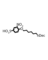 CCCCCCCCCCCCCCCCOc1ccc(S(=O)(=O)O)cc1[N+](=O)[O-]